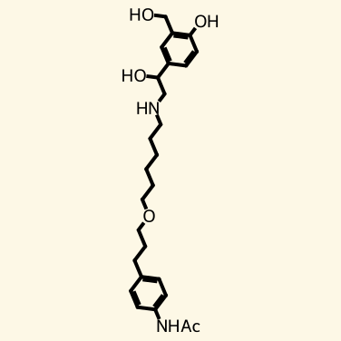 CC(=O)Nc1ccc(CCCOCCCCCCNCC(O)c2ccc(O)c(CO)c2)cc1